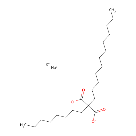 CCCCCCCCCCCCC(CCCCCCCC)(C(=O)[O-])C(=O)[O-].[K+].[Na+]